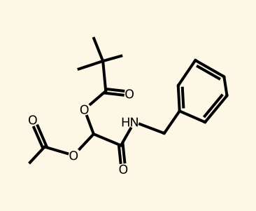 CC(=O)OC(OC(=O)C(C)(C)C)C(=O)NCc1ccccc1